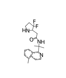 Cc1cccc2c(C(C)(C)NC(=O)CC3NCCC3(F)F)nccc12